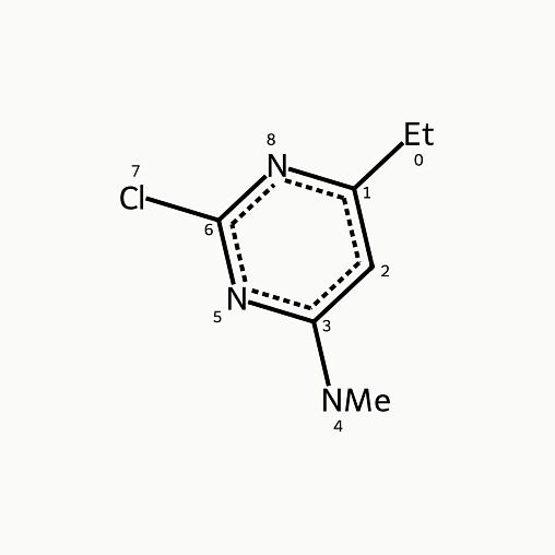 CCc1cc(NC)nc(Cl)n1